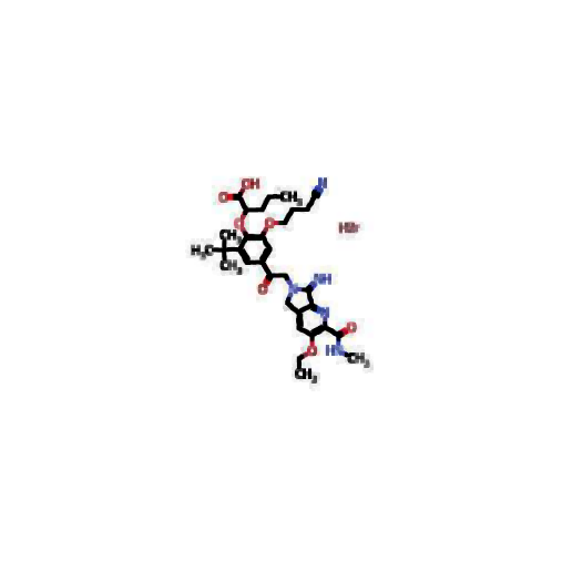 Br.CCCC(Oc1c(OCCCC#N)cc(C(=O)CN2Cc3cc(OCC)c(C(=O)NC)nc3C2=N)cc1C(C)(C)C)C(=O)O